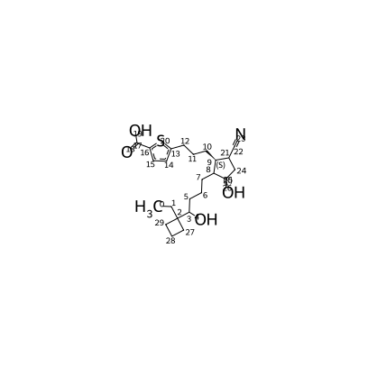 CCC1(C(O)CCCC2[C@@H](CCCc3ccc(C(=O)O)s3)C(C#N)C[C@H]2O)CCC1